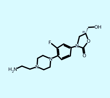 NCCN1CCN(c2ccc(N3C[C@H](CO)OC3=O)cc2F)CC1